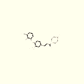 CC(=O)N1CCN(C(=O)C=Cc2ccc(Sc3cccc(Cl)c3C)c([N+](=O)[O-])c2)CC1